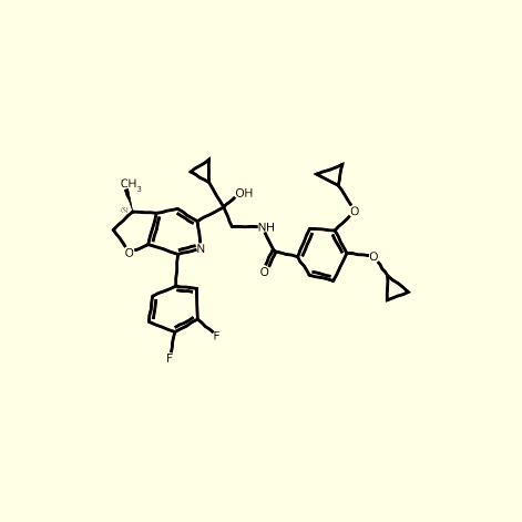 C[C@@H]1COc2c1cc(C(O)(CNC(=O)c1ccc(OC3CC3)c(OC3CC3)c1)C1CC1)nc2-c1ccc(F)c(F)c1